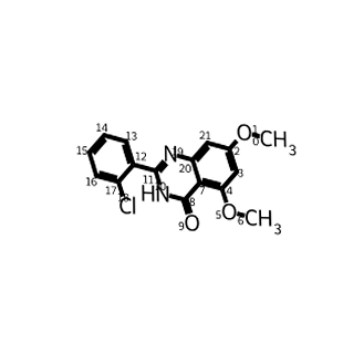 COc1cc(OC)c2c(=O)[nH]c(-c3ccccc3Cl)nc2c1